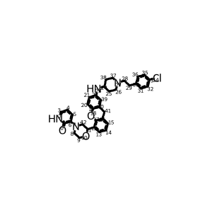 O=c1[nH]cccc1N1CCOC(c2cccc3c2Oc2ccc(NC4CCN(CCc5ccc(Cl)cc5)CC4)cc2C3)C1